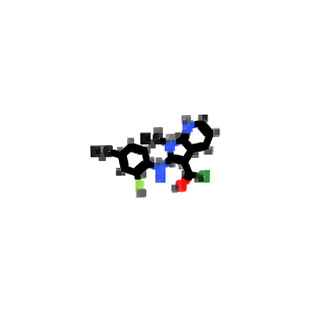 Cc1ccc(Nc2c(C(=O)Cl)c3cccnc3n2C)c(F)c1